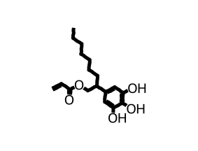 C=CC(=O)OCC(CCCCCCC)c1cc(O)c(O)c(O)c1